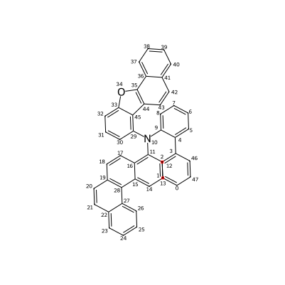 c1ccc(-c2ccccc2N(c2cccc3c2ccc2ccc4ccccc4c23)c2cccc3oc4c5ccccc5ccc4c23)cc1